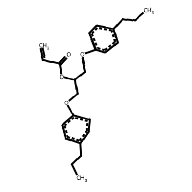 C=CC(=O)OC(COc1ccc(CCC)cc1)COc1ccc(CCC)cc1